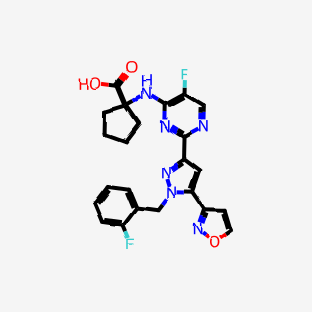 O=C(O)C1(Nc2nc(-c3cc(-c4ccon4)n(Cc4ccccc4F)n3)ncc2F)CCCC1